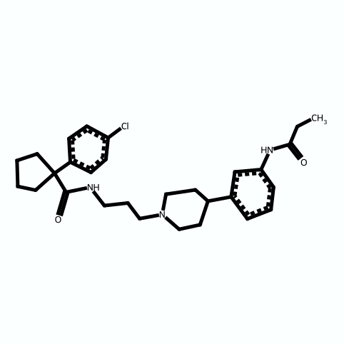 CCC(=O)Nc1cccc(C2CCN(CCCNC(=O)C3(c4ccc(Cl)cc4)CCCC3)CC2)c1